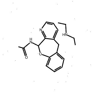 CC(=O)NC1Oc2ccccc2Cc2cccnc21.CCNCC